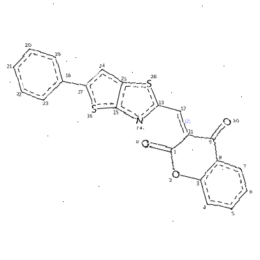 O=C1Oc2ccccc2C(=O)/C1=C/c1nc2sc(-c3ccccc3)cc2s1